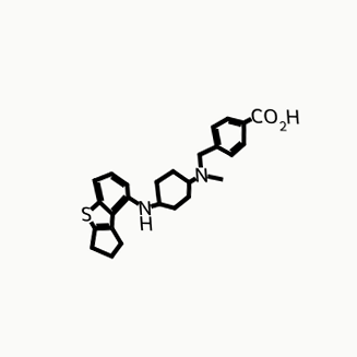 CN(Cc1ccc(C(=O)O)cc1)C1CCC(Nc2cccc3sc4c(c23)CCC4)CC1